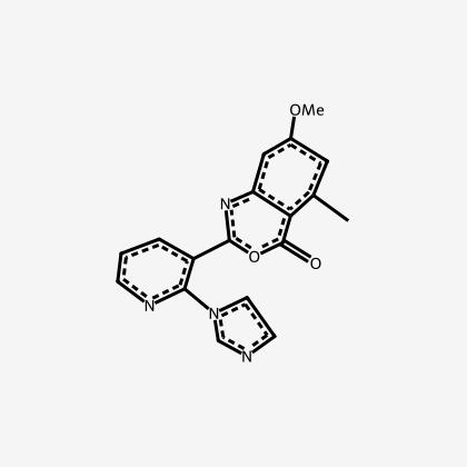 COc1cc(C)c2c(=O)oc(-c3cccnc3-n3ccnc3)nc2c1